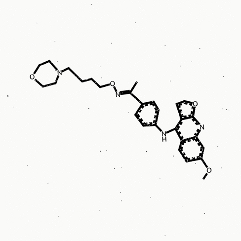 COc1ccc2c(Nc3ccc(/C(C)=N/OCCCCN4CCOCC4)cc3)c3ccoc3nc2c1